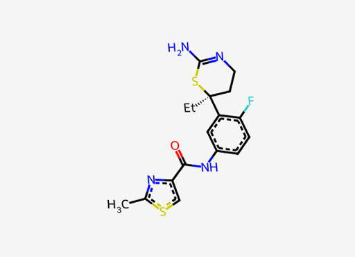 CC[C@@]1(c2cc(NC(=O)c3csc(C)n3)ccc2F)CCN=C(N)S1